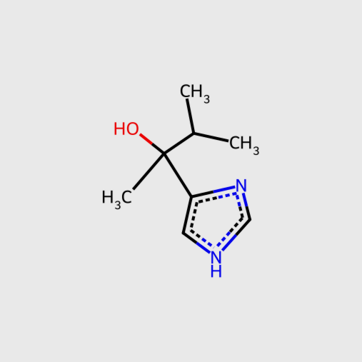 CC(C)C(C)(O)c1c[nH]cn1